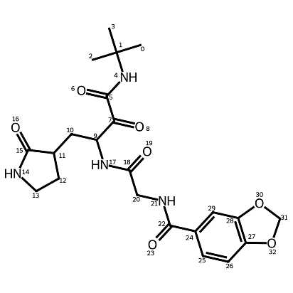 CC(C)(C)NC(=O)C(=O)C(CC1CCNC1=O)NC(=O)CNC(=O)c1ccc2c(c1)OCO2